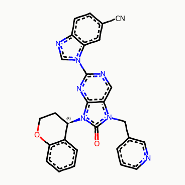 N#Cc1ccc2ncn(-c3ncc4c(n3)n([C@@H]3CCOc5ccccc53)c(=O)n4Cc3cccnc3)c2c1